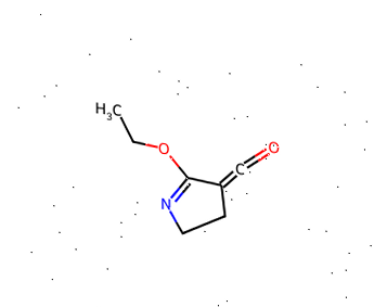 CCOC1=NCCC1=C=O